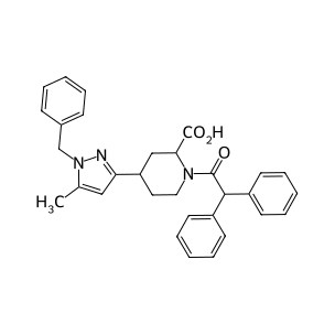 Cc1cc(C2CCN(C(=O)C(c3ccccc3)c3ccccc3)C(C(=O)O)C2)nn1Cc1ccccc1